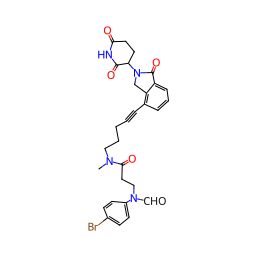 CN(CCCC#Cc1cccc2c1CN(C1CCC(=O)NC1=O)C2=O)C(=O)CCN(C=O)c1ccc(Br)cc1